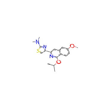 COc1ccc2c(OC(C)C)nc(-c3csc(N(C)C)n3)cc2c1